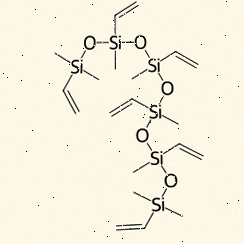 C=C[Si](C)(C)O[Si](C)(C=C)O[Si](C)(C=C)O[Si](C)(C=C)O[Si](C)(C=C)O[Si](C)(C)C=C